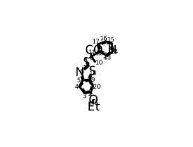 CCOc1ccc2nc(SC(C)(C(=O)O)c3ccccc3)sc2c1